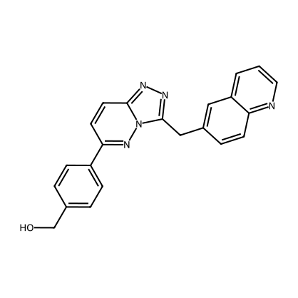 OCc1ccc(-c2ccc3nnc(Cc4ccc5ncccc5c4)n3n2)cc1